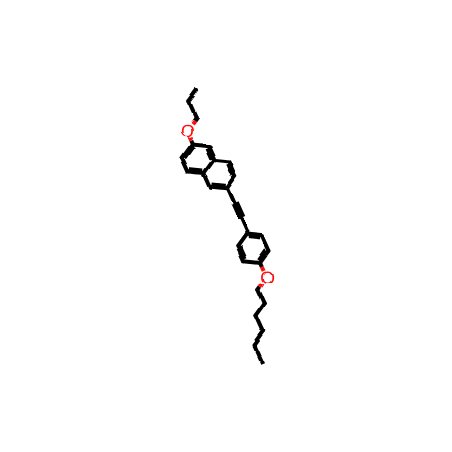 CCCCCCOc1ccc(C#Cc2ccc3cc(OCCC)ccc3c2)cc1